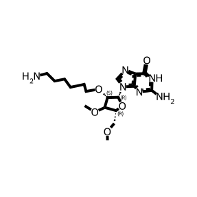 COC[C@H]1O[C@@H](n2cnc3c(=O)[nH]c(N)nc32)[C@@H](OCCCCCCN)C1OC